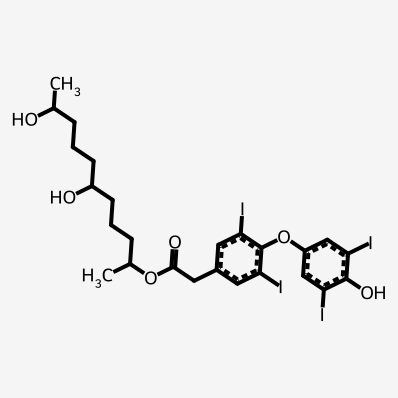 CC(O)CCCC(O)CCCC(C)OC(=O)Cc1cc(I)c(Oc2cc(I)c(O)c(I)c2)c(I)c1